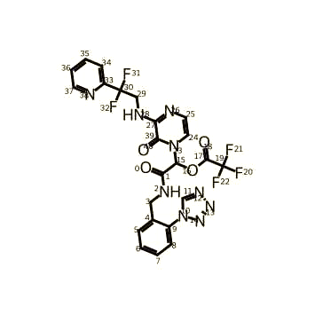 O=C(NCc1ccccc1-n1cnnn1)C(OC(=O)C(F)(F)F)n1ccnc(NCC(F)(F)c2ccccn2)c1=O